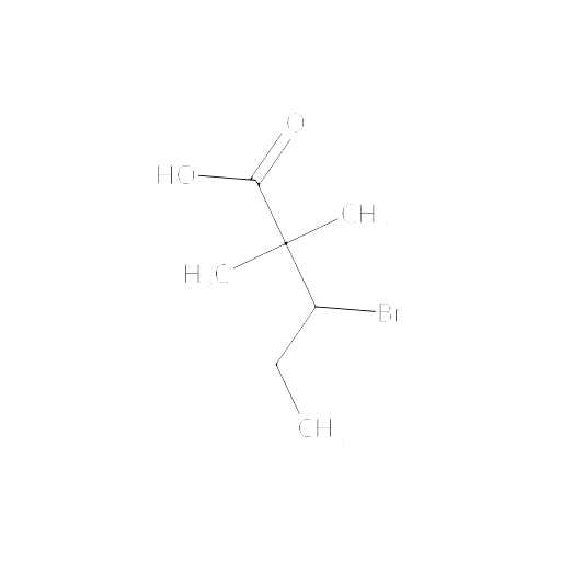 CCC(Br)C(C)(C)C(=O)O